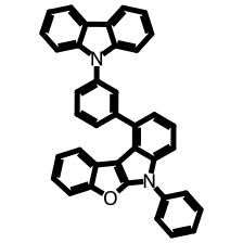 c1ccc(-n2c3cccc(-c4cccc(-n5c6ccccc6c6ccccc65)c4)c3c3c4ccccc4oc32)cc1